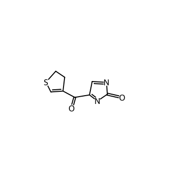 O=C1N=CC(C(=O)C2=CSCC2)=N1